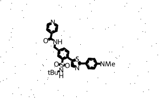 CNc1ccc(-c2ncc(-c3ccc(CNC(=O)c4ccncc4)cc3S(=O)(=O)NC(C)(C)C)s2)cc1